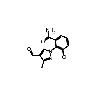 Cc1nn(-c2c(Cl)cccc2C(N)=O)cc1C=O